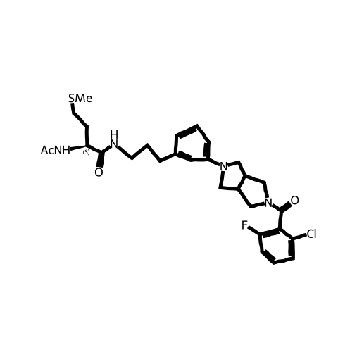 CSCC[C@H](NC(C)=O)C(=O)NCCCc1cccc(N2CC3CN(C(=O)c4c(F)cccc4Cl)CC3C2)c1